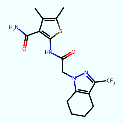 Cc1sc(NC(=O)Cn2nc(C(F)(F)F)c3c2CCCC3)c(C(N)=O)c1C